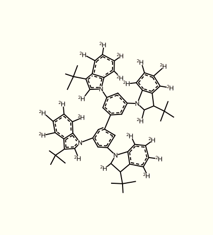 [2H]c1c([2H])c([2H])c2c(c1[2H])C(C(C)(C)C)C([2H])N2c1cc(-c2cc(N3c4c([2H])c([2H])c([2H])c([2H])c4C(C(C)(C)C)C3[2H])cc(-n3c([2H])c(C(C)(C)C)c4c([2H])c([2H])c([2H])c([2H])c43)c2)cc(-n2c([2H])c(C(C)(C)C)c3c([2H])c([2H])c([2H])c([2H])c32)c1